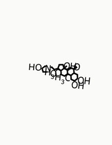 CC12CC(O)C(O)CC1C(=O)C=C1C2CCC2(C)C(C(=O)CN3CCC(O)C3)CCC12O